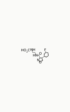 O=C(O)NCCNC(=O)c1nocc1-c1cccc(F)c1